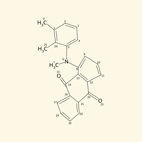 Cc1cccc(N(C)c2cccc3c2C(=O)c2ccccc2C3=O)c1C